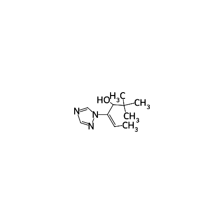 CC=C(C(O)C(C)(C)C)n1cncn1